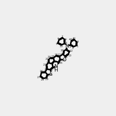 c1ccc(N(c2ccccc2)c2ccc3oc4c(cc5ccc6cc7c8ccccc8sc7c7[nH]c4c5c67)c3c2)cc1